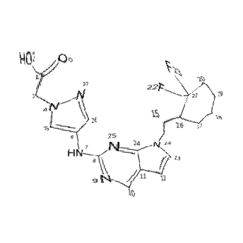 O=C(O)Cn1cc(Nc2ncc3ccn(CC4CCCCC4(F)F)c3n2)cn1